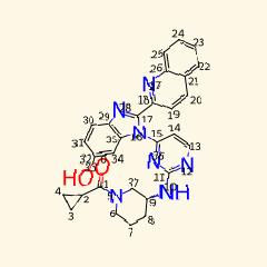 O=C(C1CC1)N1CCC[C@H](Nc2nccc(-n3c(-c4ccc5ccccc5n4)nc4ccc(O)cc43)n2)C1